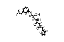 CN(C)Cc1ccnc(CCC(O)CNC(=O)C[S+]([O-])Cc2ccco2)c1